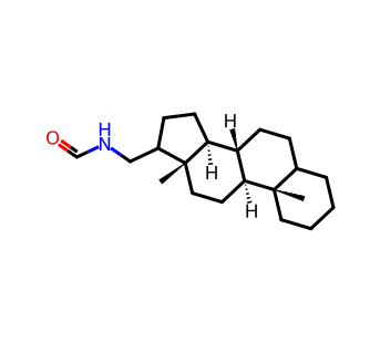 C[C@]12CCCCC1CC[C@@H]1[C@@H]2CC[C@]2(C)C(CNC=O)CC[C@@H]12